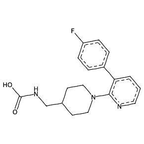 O=C(O)NCC1CCN(c2ncccc2-c2ccc(F)cc2)CC1